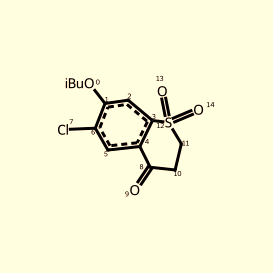 CC(C)COc1cc2c(cc1Cl)C(=O)CCS2(=O)=O